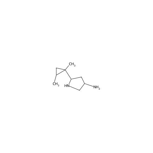 CC1CC1(C)C1CC(N)CN1